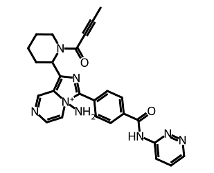 CC#CC(=O)N1CCCCC1C1=C2C=NC=C[N+]2(N)C(c2ccc(C(=O)Nc3cccnn3)cc2)=N1